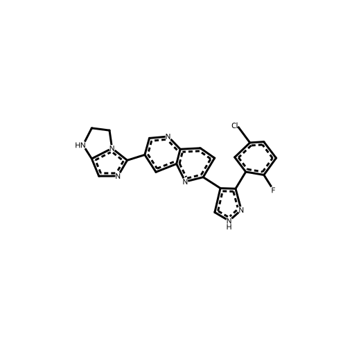 Fc1ccc(Cl)cc1-c1n[nH]cc1-c1ccc2ncc(-c3ncc4n3CCN4)cc2n1